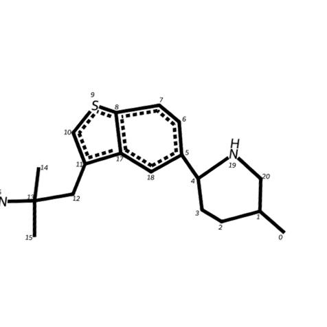 CC1CCC(c2ccc3scc(CC(C)(C)N)c3c2)NC1